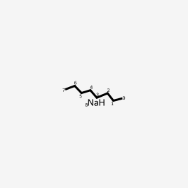 CCCCCCCC.[NaH]